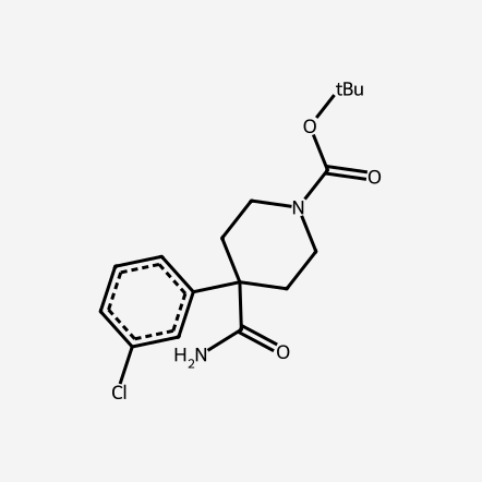 CC(C)(C)OC(=O)N1CCC(C(N)=O)(c2cccc(Cl)c2)CC1